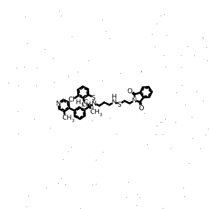 Cc1cnccc1-c1cccc(C(C)(C)N(CCCNSCCN2C(=O)c3ccccc3C2=O)Sc2cccc(Cl)c2C)c1